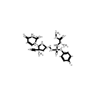 COC(=O)[C@H](C)NP(=O)(OC[C@@H]1C[C@@](C)(C#N)[C@H](n2ccc(=O)[nH]c2=O)O1)Oc1ccc(F)cc1